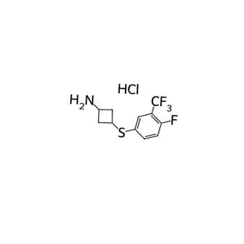 Cl.NC1CC(Sc2ccc(F)c(C(F)(F)F)c2)C1